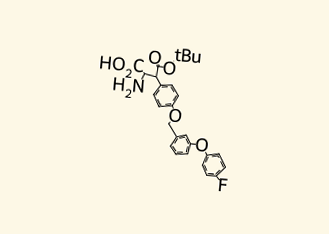 CC(C)(C)OC(=O)C(c1ccc(OCc2cccc(Oc3ccc(F)cc3)c2)cc1)C(N)C(=O)O